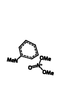 CNc1ccccc1.CO[N+](=O)OC